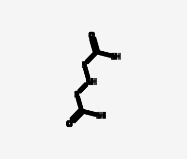 O=C(S)SNSC(=O)S